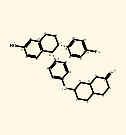 O=C1CCC2CCC(Oc3ccc([C@@H]4c5ccc(O)cc5CC[C@@H]4c4ccc(F)cc4)cc3)CC2C1